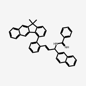 CC1(C)c2cc3ccccc3cc2-c2c(-c3ccccc3/C=C/C(NC(=N)c3ccccc3)c3ccc4ccccc4c3)cccc21